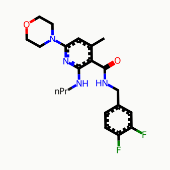 CCCNc1nc(N2CCOCC2)cc(C)c1C(=O)NCc1ccc(F)c(F)c1